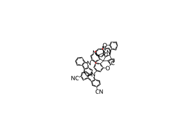 N#Cc1ccc2c(c1)c1cc(C#N)ccc1n2-c1ccc2c(c1)Oc1cccc(N3c4ccccc4Oc4ccccc43)c1C21c2cccnc2-c2ncc(-n3c4ccccc4c4ccccc43)cc21